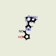 N#CC(C1CCCC1O)n1cc(-c2ncnc3[nH]ccc23)cn1